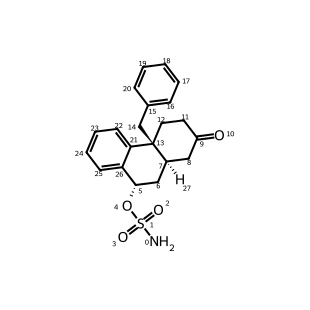 NS(=O)(=O)O[C@H]1C[C@@H]2CC(=O)CC[C@@]2(Cc2ccccc2)c2ccccc21